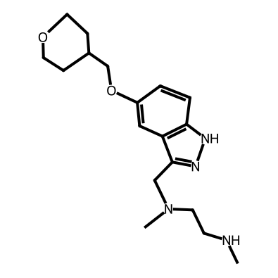 CNCCN(C)Cc1n[nH]c2ccc(OCC3CCOCC3)cc12